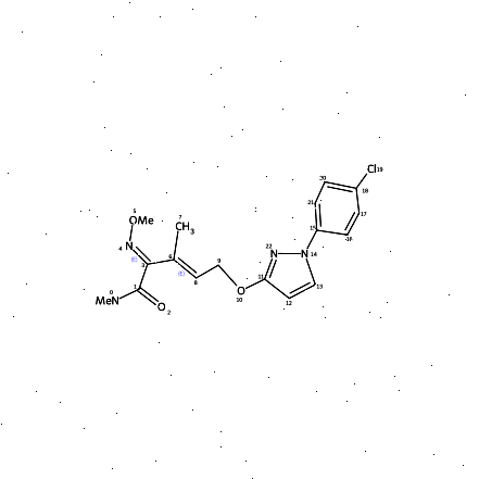 CNC(=O)C(=N/OC)/C(C)=C/COc1ccn(-c2ccc(Cl)cc2)n1